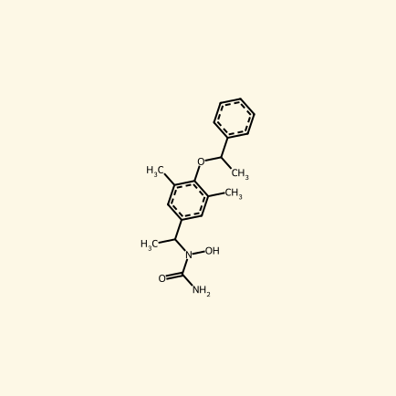 Cc1cc(C(C)N(O)C(N)=O)cc(C)c1OC(C)c1ccccc1